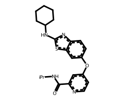 CC(C)NC(=O)c1cc(Oc2ccc3nc(NC4CCCCC4)sc3c2)ccn1